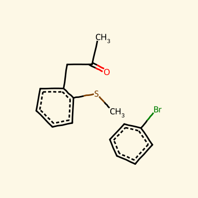 Brc1ccccc1.CSc1ccccc1CC(C)=O